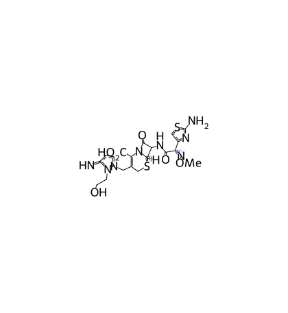 CO/N=C(\C(=O)NC1C(=O)N2C(C(=O)O)=C(Cn3ccc(=N)n3CCO)CS[C@H]12)c1csc(N)n1